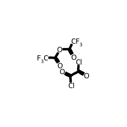 O=C(Cl)C(=O)Cl.O=C(OC(=O)C(F)(F)F)C(F)(F)F